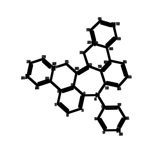 c1cc2c3c(c1)N(c1ccncc1)c1cccc4c1C(=C3C[n+]1ccncc1-2)C[n+]1ccncc1-4